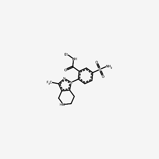 CCNC(=O)c1cc(S(N)(=O)=O)ccc1-n1nc(C(F)(F)F)c2c1CCNC2